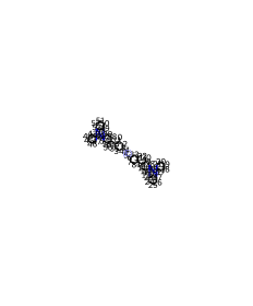 Cc1cc(/C=C/c2ccc(-c3cc(C)c(N(c4ccccc4)c4ccccc4)cc3C)c(C)c2)ccc1-c1ccc(N(c2ccccc2)C2C=CC=CC2)cc1C